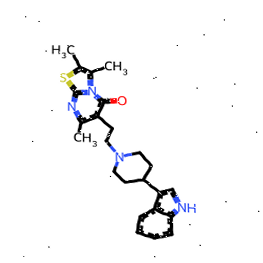 Cc1nc2sc(C)c(C)n2c(=O)c1CCN1CCC(c2c[nH]c3ccccc23)CC1